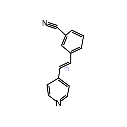 N#Cc1cccc(/C=C/c2ccncc2)c1